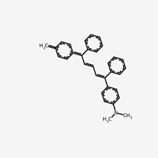 C=c1ccc(=C(/C=C/C=C(\c2ccccc2)c2ccc(N(C)C)cc2)c2ccccc2)cc1